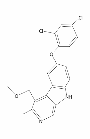 COCc1c(C)ncc2[nH]c3ccc(Oc4ccc(Cl)cc4Cl)cc3c12